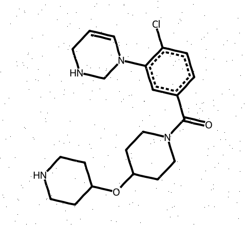 O=C(c1ccc(Cl)c(N2C=CCNC2)c1)N1CCC(OC2CCNCC2)CC1